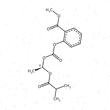 COC(=O)c1ccccc1OC(=O)O[C@H](C)OC(=O)C(C)C